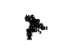 C=CCN1CC(=O)N2[C@@H](Cc3ccc(O)cc3)C(=O)N(Cc3cccc4c(C(=O)N5CCN(C6CC6)CC5)cn(C)c34)C[C@@H]2N1C(=O)NCc1ccccc1